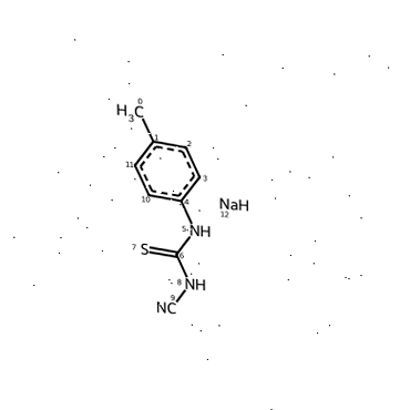 Cc1ccc(NC(=S)NC#N)cc1.[NaH]